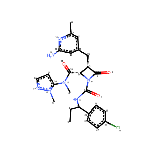 CCC(NC(=O)N1C(=O)[C@H](Cc2cc(C)nc(N)c2)[C@H]1C(=O)N(C)c1ccnn1C)c1ccc(Cl)cc1